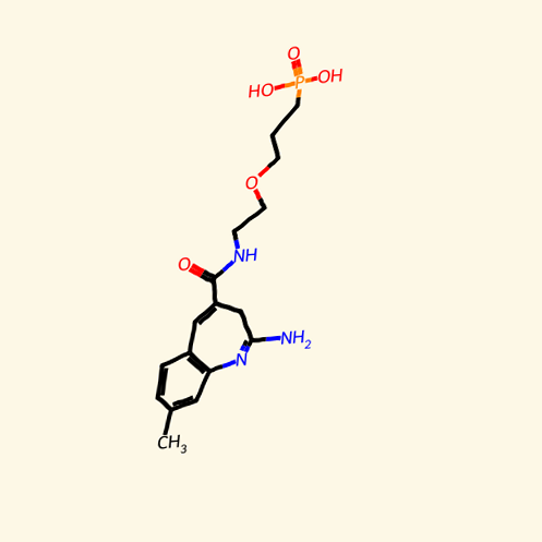 Cc1ccc2c(c1)N=C(N)CC(C(=O)NCCOCCCP(=O)(O)O)=C2